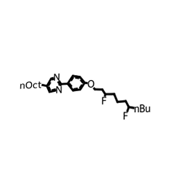 CCCCCCCCc1cnc(-c2ccc(OCCC(F)CCCC(F)CCCC)cc2)nc1